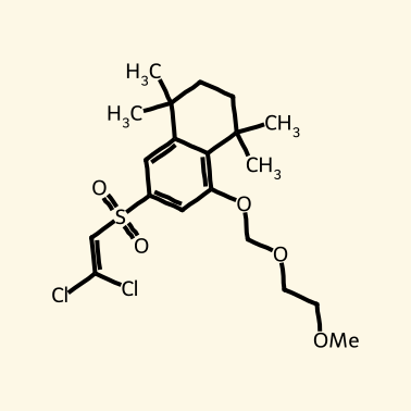 COCCOCOc1cc(S(=O)(=O)C=C(Cl)Cl)cc2c1C(C)(C)CCC2(C)C